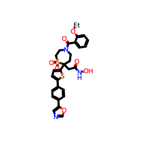 CCOc1ccccc1C(=O)N1CCC(CC(=O)NO)(c2ccc(-c3ccc(-c4cnco4)cc3)s2)S(=O)(=O)CC1